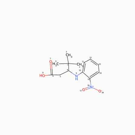 CC(C)(C)C(CC(=O)O)Nc1ccccc1[N+](=O)[O-]